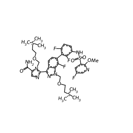 COc1ncc(F)cc1S(=O)(=O)Nc1ccc(F)c(-c2ccc3c(-c4ncc(C(N)=O)n4COCCS(C)(C)C)nn(COCCS(C)(C)C)c3c2F)c1F